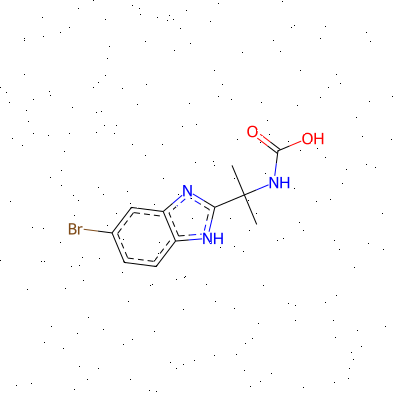 CC(C)(NC(=O)O)c1nc2cc(Br)ccc2[nH]1